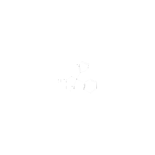 NCC(N)(c1ccccc1)c1nccs1